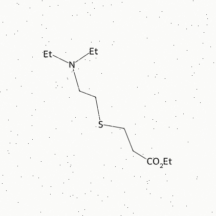 CCOC(=O)CCSCCN(CC)CC